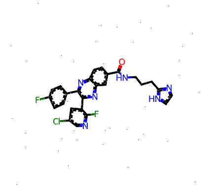 O=C(NCCCc1ncc[nH]1)c1ccc2nc(-c3ccc(F)cc3)c(-c3cc(Cl)cnc3F)nc2c1